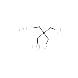 O=C(O)CC(CO)(CO)CO